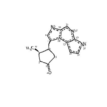 C[C@@H]1CC(=O)C[C@@H]1c1cnc2cnc3[nH]ccc3n12